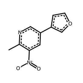 Cc1ncc(-c2ccoc2)cc1[N+](=O)[O-]